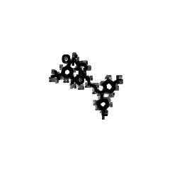 CN(C(=O)c1cc(C(C)(C)C)cc(C(C)(C)C)c1)[C@H]1CCN(C(=O)CCCCC(c2ccc(F)cc2)c2ccc(F)cc2)C1